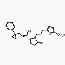 O=C(O)c1ccc(CCCN2C(=O)CC[C@@H]2C(O)=CCC2(c3ccccc3)CC2)s1